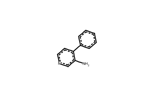 Nc1[c]nccc1-c1ccccc1